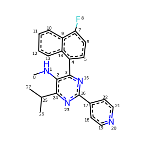 CNc1c(-c2ccc(F)c3ccccc23)nc(-c2ccncc2)nc1C(C)C